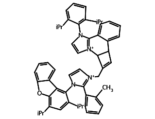 Cc1ccccc1-c1n(-c2c(C(C)C)cc(C(C)C)c3oc4ccccc4c23)cc[n+]1CC1=CC2c3ccccc3-c3n(-c4c(C(C)C)cccc4C(C)C)cc[n+]3C12